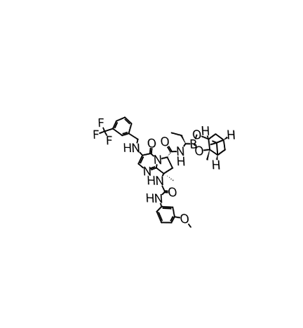 CC[C@H](NC(=O)[C@@H]1C[C@@](C)(NC(=O)Nc2cccc(OC)c2)c2ncc(NCc3cccc(C(F)(F)F)c3)c(=O)n21)B1O[C@@H]2C[C@@H]3C[C@@H](C3(C)C)[C@]2(C)O1